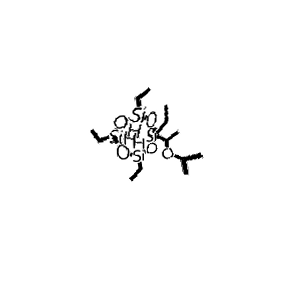 CC[SiH]1O[SiH](CC)O[Si](CC)(C(C)OC(C)C)O[SiH](CC)O1